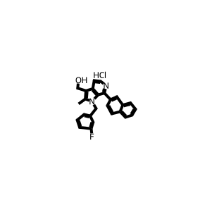 Cc1c(CO)c2ccnc(-c3ccc4ccccc4c3)c2n1Cc1cccc(F)c1.Cl